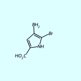 Bc1cc(C(=O)O)[nH]c1Br